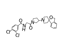 O=C(NCC(=O)N1CCC(N2CCC3(CC2)OCc2ccccc23)C1)c1ccc(Cl)c(Cl)c1